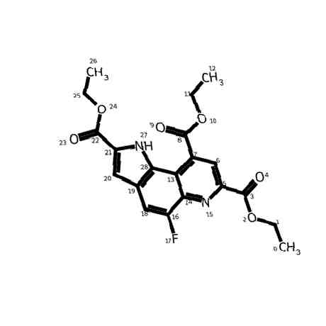 CCOC(=O)c1cc(C(=O)OCC)c2c(n1)c(F)cc1cc(C(=O)OCC)[nH]c12